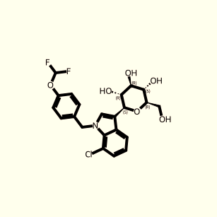 OC[C@H]1O[C@@H](c2cn(Cc3ccc(OC(F)F)cc3)c3c(Cl)cccc23)[C@H](O)[C@@H](O)[C@@H]1O